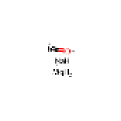 [MgH2].[NaH].[O]=[Ti]